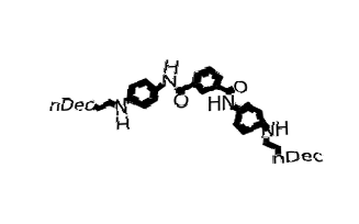 CCCCCCCCCCCCNc1ccc(NC(=O)c2cccc(C(=O)Nc3ccc(NCCCCCCCCCCCC)cc3)c2)cc1